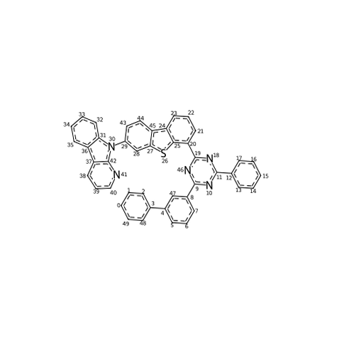 c1ccc(-c2cccc(-c3nc(-c4ccccc4)nc(-c4cccc5c4sc4cc(-n6c7ccccc7c7cccnc76)ccc45)n3)c2)cc1